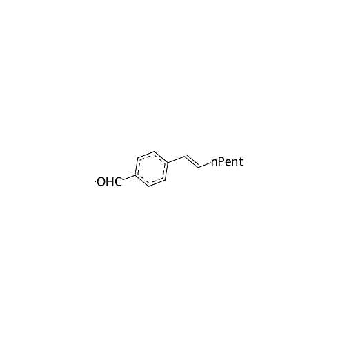 CCCCCC=Cc1ccc([C]=O)cc1